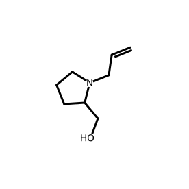 C=CCN1CCCC1CO